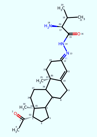 CC(=O)[C@H]1CCC2C3CCC4=C/C(=N/NC(=O)[C@@H](N)C(C)C)CC[C@]4(C)C3CC[C@@]21C